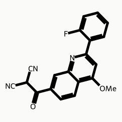 COc1cc(-c2ccccc2F)nc2cc(C(=O)C(C#N)C#N)ccc12